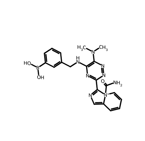 CN(C)c1nnc(C2=NC=C3C=CC=C[N+]32C(N)=O)nc1NCc1cccc(B(O)O)c1